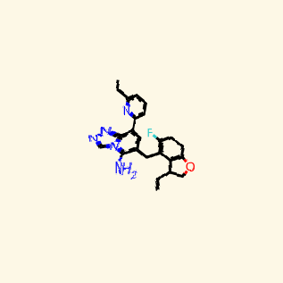 CCc1cccc(-c2cc(CC3=C(F)CCC4=C3C(CC)CO4)c(N)n3cnnc23)n1